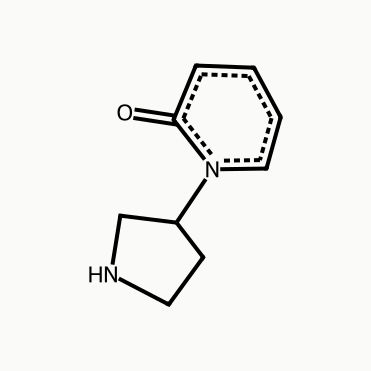 O=c1ccccn1C1CCNC1